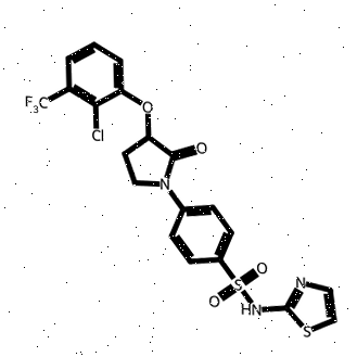 O=C1C(Oc2cccc(C(F)(F)F)c2Cl)CCN1c1ccc(S(=O)(=O)Nc2nccs2)cc1